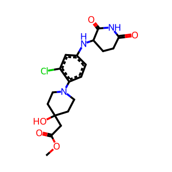 COC(=O)CC1(O)CCN(c2ccc(NC3CCC(=O)NC3=O)cc2Cl)CC1